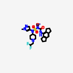 Cn1cc(N(C2CCN(CC(F)F)CC2)S(=O)(=O)[NH+]([O-])C(=O)Nc2c3c(cc4c2CCC4)CCC3)cn1